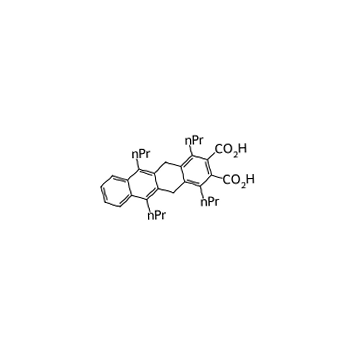 CCCc1c2c(c(CCC)c(C(=O)O)c1C(=O)O)Cc1c(c(CCC)c3ccccc3c1CCC)C2